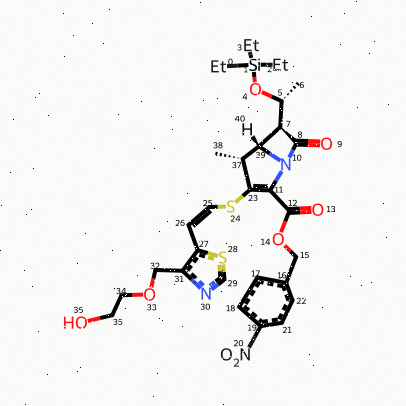 CC[Si](CC)(CC)O[C@H](C)[C@H]1C(=O)N2C(C(=O)OCc3ccc([N+](=O)[O-])cc3)=C(S/C=C\c3scnc3COCCO)[C@H](C)[C@H]12